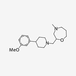 COc1cccc(C2CCN(CC3CN(C)CCCO3)CC2)c1